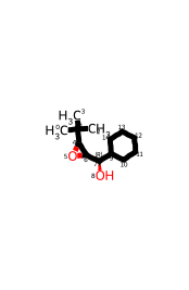 CC(C)(C)C1OC1[C@H](O)C1CCCCC1